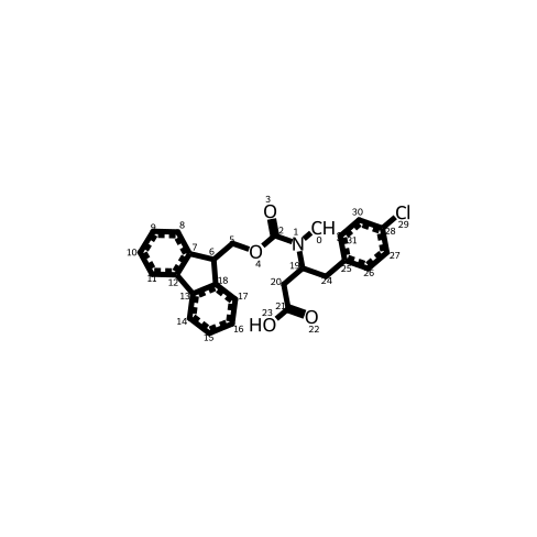 CN(C(=O)OCC1c2ccccc2-c2ccccc21)C(CC(=O)O)Cc1ccc(Cl)cc1